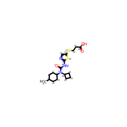 CC1CCC(N(C(=O)Nc2ncc(SCCC(=O)O)s2)C2CCC2)CC1